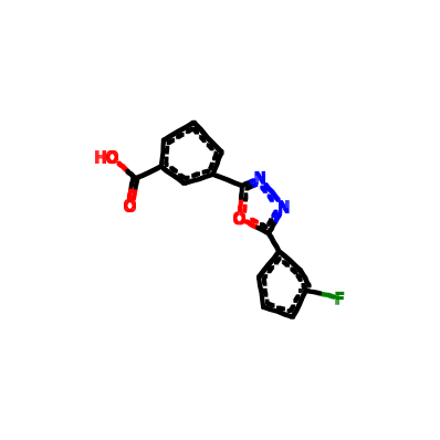 O=C(O)c1cccc(-c2nnc(-c3cccc(F)c3)o2)c1